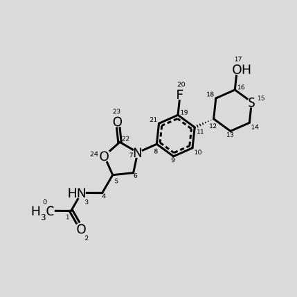 CC(=O)NCC1CN(c2ccc([C@H]3CCSC(O)C3)c(F)c2)C(=O)O1